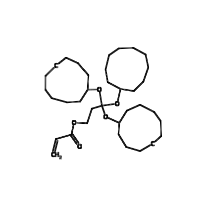 C=CC(=O)OCCC(OC1CCCCCCCCC1)(OC1CCCCCCCCC1)OC1CCCCCCCCC1